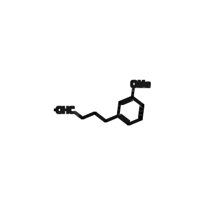 COc1cccc(CCC[C]=O)c1